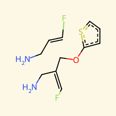 NCC(=CF)COc1cccs1.NCC=CF